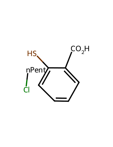 CCCCCCl.O=C(O)c1ccccc1S